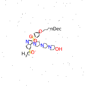 CCCCCCCCCCCCCCOc1ccc(S(=O)(=O)c2cnc3ccc([S+](C)[O-])cc3c2N2CCC(N3CCC(N4CCC(O)CC4)CC3)CC2)cc1